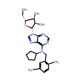 CC(=O)OC[C@H]1O[C@@H](n2cnc3c(N(Cc4cc(C)ccc4C)C4CCCC4)ncnc32)[C@H](OC(C)=O)[C@@H]1OC(C)=O